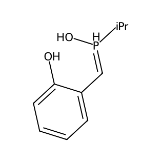 CC(C)/[PH](O)=C/c1ccccc1O